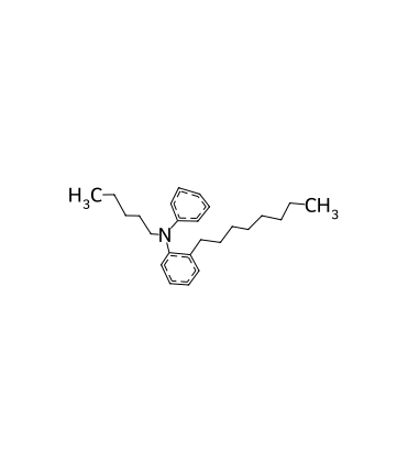 CCCCCCCCc1ccccc1N(CCCCC)c1ccccc1